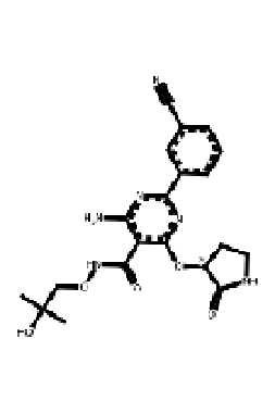 CC(C)(O)CONC(=O)c1c(N)nc(-c2cccc(C#N)c2)nc1O[C@H]1CCNC1=O